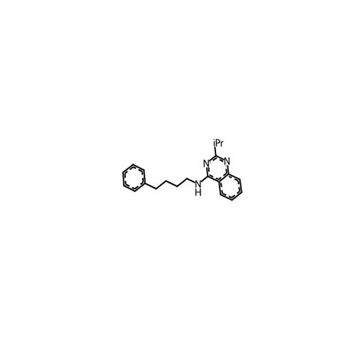 CC(C)c1nc(NCCCCc2ccccc2)c2ccccc2n1